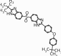 CC(C)(C)c1ccc(Oc2ccc(-c3nc4ccc(S(=O)(=O)c5ccc6[nH]c(C(C)(C)C)nc6c5)cc4[nH]3)cc2)cc1